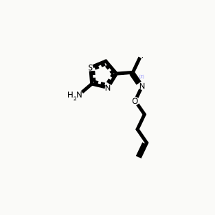 [CH2]/C(=N/OCCC=C)c1csc(N)n1